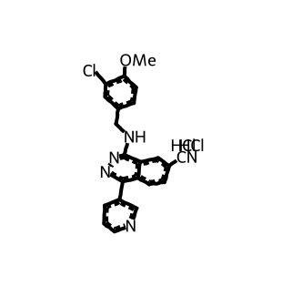 COc1ccc(CNc2nnc(-c3cccnc3)c3ccc(C#N)cc23)cc1Cl.Cl.Cl